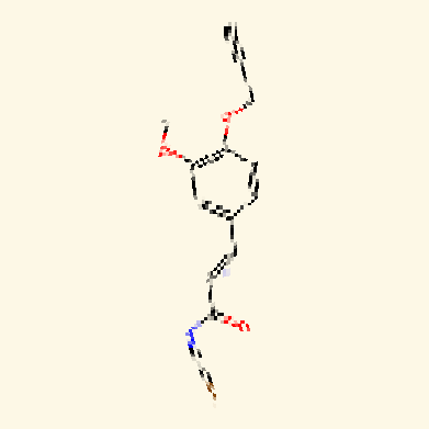 C#CCOc1ccc(/C=C/C(=O)N=C=S)cc1OC